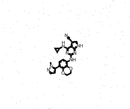 Cn1nccc1-c1ccc(Nc2nc(NC3CC3)c3c(C#N)c[nH]c3n2)c2c1OCCO2